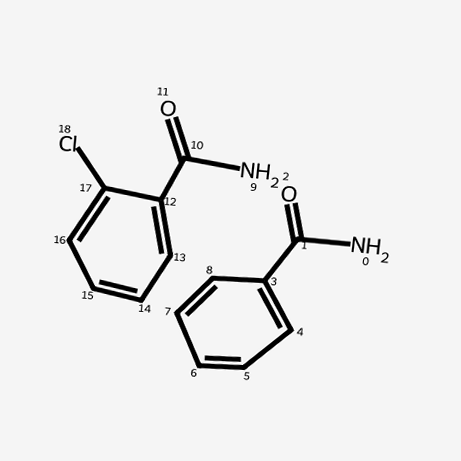 NC(=O)c1ccccc1.NC(=O)c1ccccc1Cl